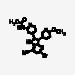 COc1ccc(-c2c(-c3ccnc(NC(C)=O)c3)[nH]c3c(C#N)cc(Br)nc23)cn1